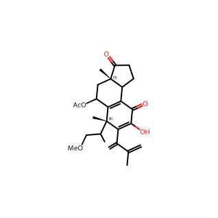 C=C(C)C(=C)C1=C(O)C(=O)C2=C(C(OC(C)=O)C[C@]3(C)C(=O)CCC23)[C@@]1(C)C(C)COC